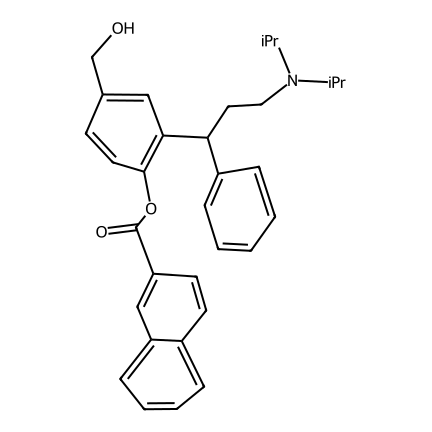 CC(C)N(CCC(c1ccccc1)c1cc(CO)ccc1OC(=O)c1ccc2ccccc2c1)C(C)C